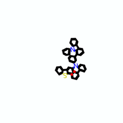 c1ccc(-c2ccccc2N(c2cccc(-c3cccc4c5ccccc5n(-c5ccccc5)c34)c2)c2ccc3sc4ccccc4c3c2)cc1